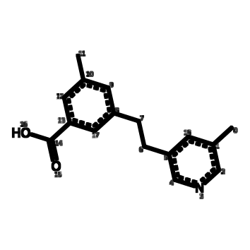 Cc1cncc(CCc2cc(C)cc(C(=O)O)c2)c1